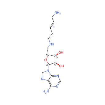 NC/C=C/CCNC[C@H]1O[C@@H](n2cnc3c(N)ncnc32)[C@H](O)[C@@H]1O